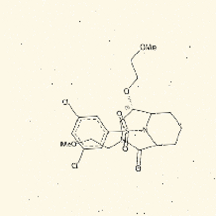 COCCO[C@H]1CN(CCOC)C(=O)C2CCCC1N2S(=O)(=O)c1cc(Cl)cc(Cl)c1